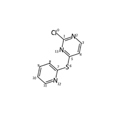 Clc1nccc(Sc2ccccn2)n1